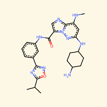 CNc1cc(NC2CCC(N)CC2)nn2c(C(=O)Nc3cccc(-c4noc(C(C)C)n4)c3)cnc12